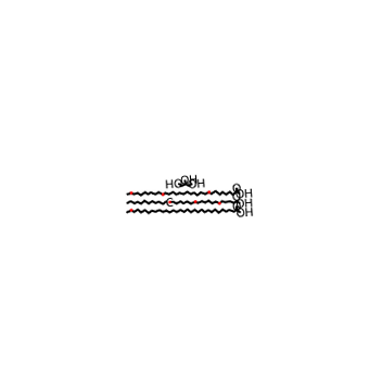 CCCCCCCCCCCCCCCCCCCCCCCCCCCCCCCC(=O)O.CCCCCCCCCCCCCCCCCCCCCCCCCCCCCCCC(=O)O.CCCCCCCCCCCCCCCCCCCCCCCCCCCCCCCC(=O)O.OCC(O)CO